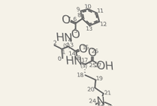 CC(C)[C@H](NOC(=O)c1ccccc1)C(=O)N[C@@H](CCCCN(C)C)C(=O)O